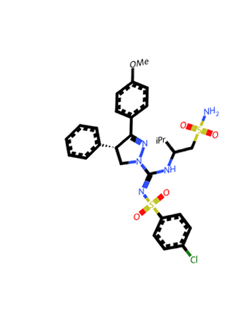 COc1ccc(C2=NN(/C(=N/S(=O)(=O)c3ccc(Cl)cc3)NC(CS(N)(=O)=O)C(C)C)C[C@@H]2c2ccccc2)cc1